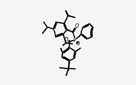 Cc1cc(C(C)(C)C)cc(C)c1C(=O)P(=O)(C(=O)c1c(C(C)C)cc(C(C)C)cc1C(C)C)c1ccccc1